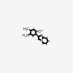 Cc1ccc(-c2cn3ccccc3n2)cc1C.Cl